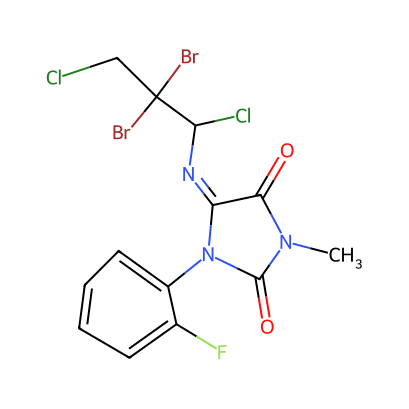 CN1C(=O)C(=NC(Cl)C(Br)(Br)CCl)N(c2ccccc2F)C1=O